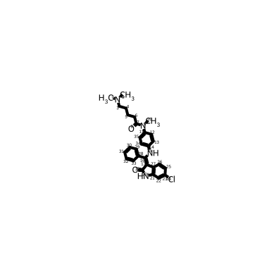 CN(C)CCCCC(=O)N(C)c1ccc(NC(=C2C(=O)Nc3cc(Cl)ccc32)c2ccccc2)cc1